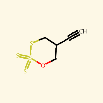 C#CC1COS(=S)(=S)SC1